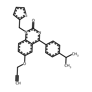 C#CCOc1ccc2c(c1)c(-c1ccc(C(C)C)cc1)nc(=O)n2Cc1cccs1